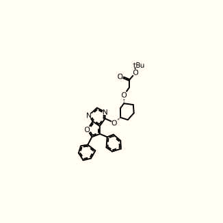 CC(C)(C)OC(=O)CO[C@@H]1CCC[C@H](Oc2ncnc3oc(-c4ccccc4)c(-c4ccccc4)c23)C1